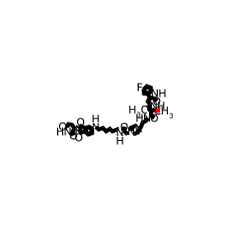 Cc1[nH]c(/C=C2\C(=O)Nc3ccc(F)cc32)c(C)c1C(=O)NCCCN1CCN(CC(=O)NCCCCCCNc2ccc3c(c2)C(=O)N(C2CCC(=O)NC2=O)C3=O)CC1